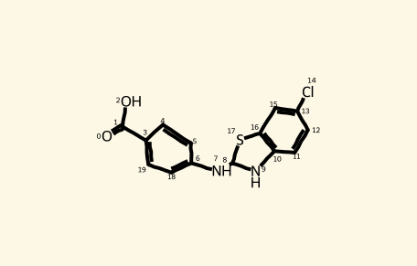 O=C(O)c1ccc(NC2Nc3ccc(Cl)cc3S2)cc1